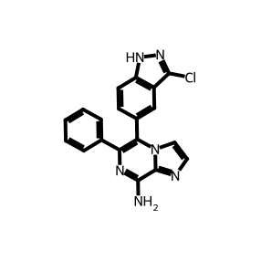 Nc1nc(-c2ccccc2)c(-c2ccc3[nH]nc(Cl)c3c2)n2ccnc12